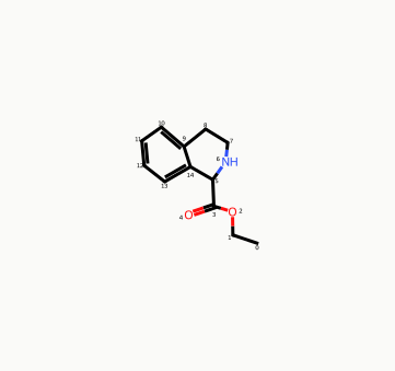 CCOC(=O)C1NCCc2ccccc21